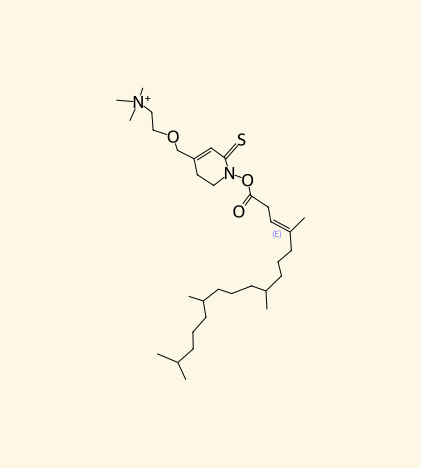 C/C(=C\CC(=O)ON1CCC(COCC[N+](C)(C)C)=CC1=S)CCCC(C)CCCC(C)CCCC(C)C